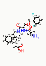 CC(C)(N)C(=O)NC(COCc1c(F)cccc1F)C(=O)N1CCC2(CC1)C[C@H](CC(=O)O)c1ccccc12